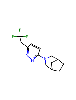 FC(F)(F)Cc1ccc(N2CC3CCC(C3)C2)nn1